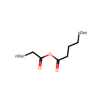 CCCCCCCCCCCCCC(=O)OC(=O)CCCCCCCCCCC